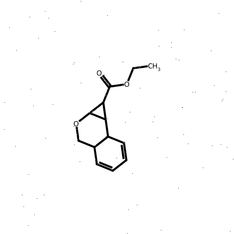 CCOC(=O)C1C2OCC3C=CC=CC3C21